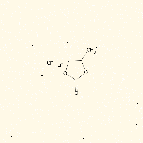 CC1COC(=O)O1.[Cl-].[Li+]